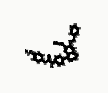 COc1cc2c(-c3ccc(NC(=O)Cc4ccc(C(F)(F)F)cc4)cc3)ncnc2cc1OCc1cccnc1